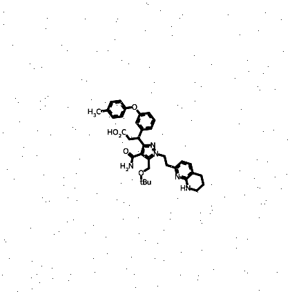 Cc1ccc(Oc2cccc(C(CC(=O)O)c3nn(CCc4ccc5c(n4)NCCC5)c(COC(C)(C)C)c3C(N)=O)c2)cc1